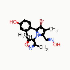 Cc1cc(O)ccc1-c1c(Br)c(C)c(/C=N/O)n1-c1c(C)noc1C